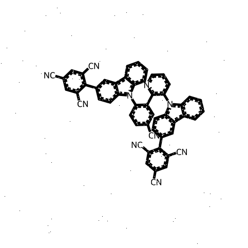 N#Cc1cc(C#N)c(-c2ccc3c(c2)c2ccccc2n3-c2ccc(C#N)cc2-c2ncccc2-n2c3ccccc3c3cc(-c4c(C#N)cc(C#N)cc4C#N)ccc32)c(C#N)c1